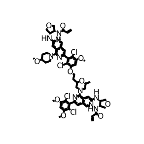 C=CC(=O)N[C@H]1COC[C@H]1Nc1cc2c(N3CC(C)OC(CCOc4cc(OC)c(Cl)c(-c5cc6cnc(N[C@@H]7COC[C@@H]7NC(=O)C=C)cc6c(N6CCC(OC)CC6)n5)c4Cl)C3)nc(-c3c(Cl)c(OC)cc(OC)c3Cl)cc2cn1